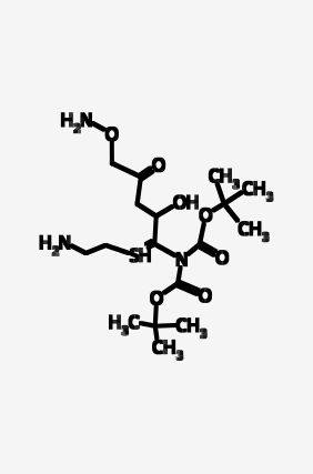 CC(C)(C)OC(=O)N(C(=O)OC(C)(C)C)C(=[SH]CCN)C(O)CC(=O)CON